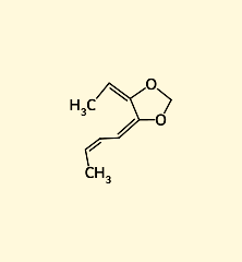 C\C=C/C=C1/OCO/C1=C/C